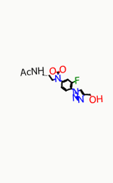 CC(=O)NC[C@H]1CN(c2ccc(-n3cc(CO)nn3)c(F)c2)C(=O)O1